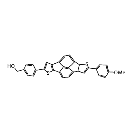 COc1ccc(C2=CC3c4ccc5c6c(ccc(c46)C3S2)-c2cc(-c3ccc(CO)cc3)sc2-5)cc1